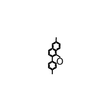 Cc1ccc2c(c1)OCc1c-2ccc2cc(C)ccc12